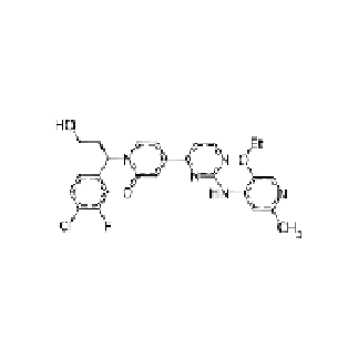 CCOc1cnc(C)cc1Nc1nccc(-c2ccn([C@H](CCO)c3ccc(Cl)c(F)c3)c(=O)c2)n1